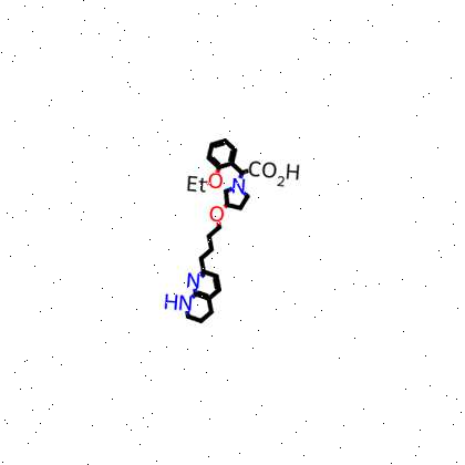 CCOc1ccccc1C(C(=O)O)N1CCC(OCCCCc2ccc3c(n2)NCCC3)C1